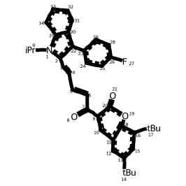 CC(C)n1c(C=CC=CC(=O)c2cc3cc(C(C)(C)C)cc(C(C)(C)C)c3oc2=O)c(-c2ccc(F)cc2)c2ccccc21